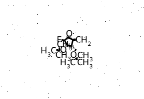 C=C1[C@H]([O])C(F)[C@H](OC(C)(C)C)[C@H]1COC(C)(C)C